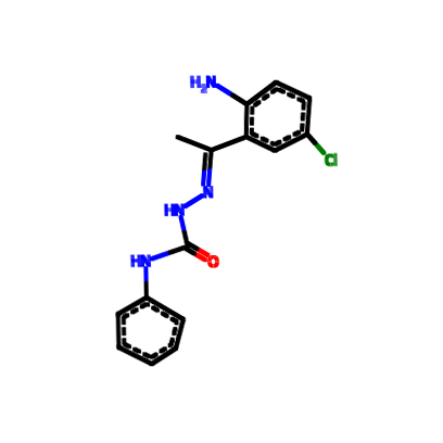 C/C(=N\NC(=O)Nc1ccccc1)c1cc(Cl)ccc1N